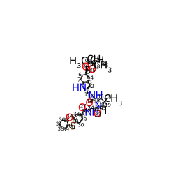 CC1(C)OB(c2ccc3[nH]c(CNC(=O)[C@@H]4C[C@]5(C)C[C@@H]5N4C(=O)CNC(=O)c4ccc5c(c4)Oc4ccccc4S5)cc3c2)OC1(C)C